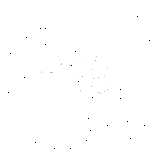 CC(C)(C)OC(=O)N1CCC2(CC1)C(=O)Nc1cccc(CCl)c12